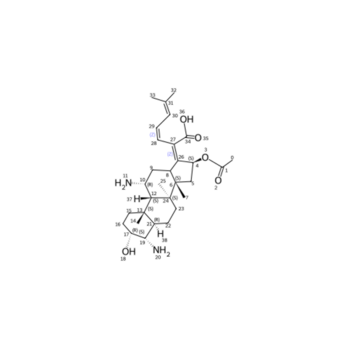 CC(=O)O[C@H]1C[C@@]2(C)C(C[C@@H](N)[C@H]3[C@@]4(C)CC[C@@H](O)[C@@H](N)[C@@H]4CC[C@@]32C)/C1=C(\C=C/C=C(C)C)C(=O)O